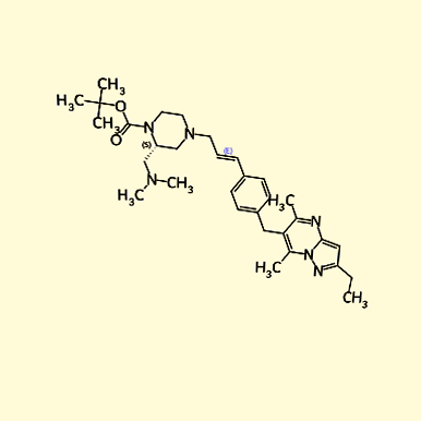 CCc1cc2nc(C)c(Cc3ccc(/C=C/CN4CCN(C(=O)OC(C)(C)C)[C@@H](CN(C)C)C4)cc3)c(C)n2n1